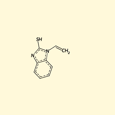 C=Cn1c(S)nc2ccccc21